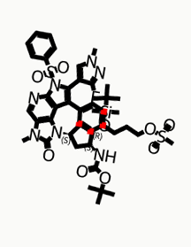 Cn1cc(-c2c(-c3ccc(CCCOS(C)(=O)=O)cc3)c3c(ncc4c3n([C@H]3C[C@H](NC(=O)OC(C)(C)C)[C@H](O[Si](C)(C)C(C)(C)C)C3)c(=O)n4C)n2S(=O)(=O)c2ccccc2)c(F)n1